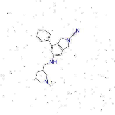 CN1CCCC(CNc2cc3c(c(-c4ccccc4)c2)CN(C#N)C3)C1